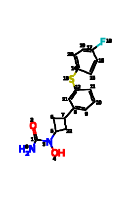 NC(=O)N(O)C1CC(c2cccc(Sc3ccc(F)cc3)c2)C1